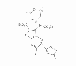 CCOC(=O)c1oc2nc(C)c(-c3cnn(C)c3)cc2c1N(C(=O)OCC)[C@H]1C[C@@H](C)O[C@@H](C)C1